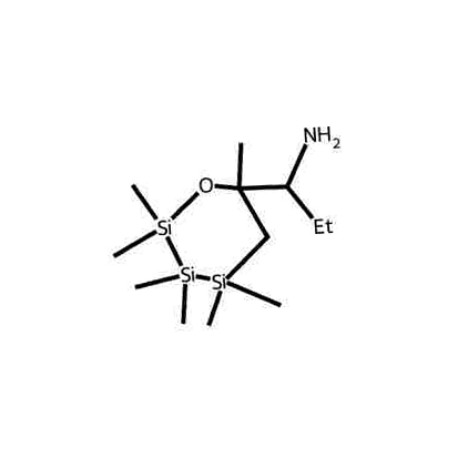 CCC(N)C1(C)C[Si](C)(C)[Si](C)(C)[Si](C)(C)O1